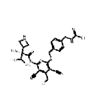 CCc1c(C#N)c(OC(=O)[C@@](N)(C(C)C)C2CNC2)nc(SCc2ccc(CNC(C)=O)cc2)c1C#N